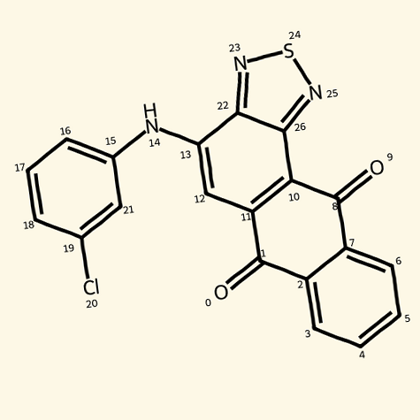 O=C1c2ccccc2C(=O)c2c1cc(Nc1cccc(Cl)c1)c1nsnc21